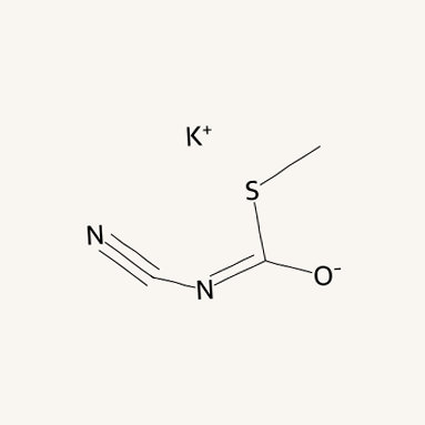 CS/C([O-])=N\C#N.[K+]